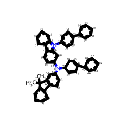 CC1(C)c2ccccc2-c2ccc(N(c3ccc4c5ccccc5n(-c5ccc(-c6ccccc6)cc5)c4c3)C3C=CC(c4ccccc4)=CC3)cc21